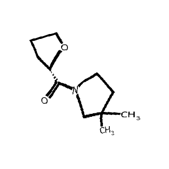 CC1(C)CCN(C(=O)[C@@H]2CCCO2)C1